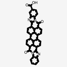 O=C(O)c1ccc2c(c1)nc1c3ccc4c5ccc6c(=O)n7c8ccccc8nc7c7ccc(c8ccc(c(=O)n21)c3c84)c5c67